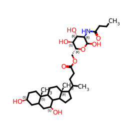 CCCC(=O)N[C@H]1C(O)O[C@H](COC(=O)CCC(C)C2CCC3C4C(CC[C@]23C)[C@@]2(C)CC[C@H](O)CC2C[C@@H]4O)[C@@H](O)[C@@H]1O